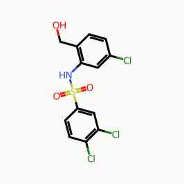 O=S(=O)(Nc1cc(Cl)ccc1CO)c1ccc(Cl)c(Cl)c1